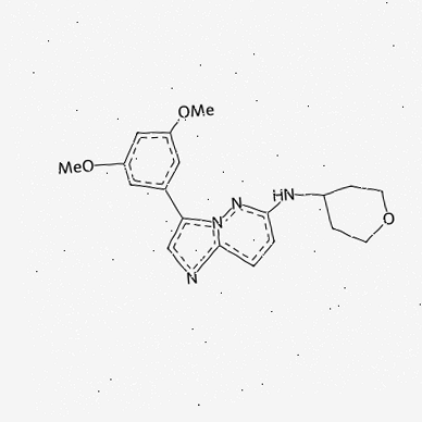 COc1cc(OC)cc(-c2cnc3ccc(NC4CCOCC4)nn23)c1